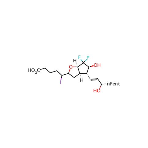 CCCCC[C@H](O)/C=C/[C@@H]1[C@H]2CC(C(I)CCCC(=O)O)O[C@H]2C(F)(F)[C@H]1O